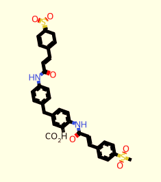 CS(=O)(=O)c1ccc(C=CC(=O)Nc2ccc(Cc3ccc(NC(=O)C=CC4=CCC(=S(=O)=O)C=C4)cc3)cc2C(=O)O)cc1